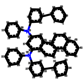 c1ccc(-c2cccc(N(c3ccccc3)c3cc(N(c4ccccc4)c4cccc(-c5ccccc5)c4)c4ccc5c6ccccc6ccc5c4c3)c2)cc1